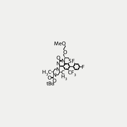 COCCOC[C@H]1CSc2c(-c3ccc(F)cc3F)c(C(F)(F)F)cc3c(N4C[C@H](C)N(C(=O)OC(C)(C)C)C[C@@H]4C)nc(=O)n1c23